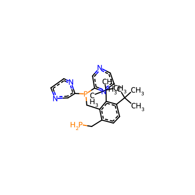 CC(C)(C)c1ccc(CP)c(CP(c2cnccn2)c2cnccn2)c1C(C)(C)C